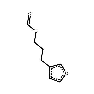 O=[C]OCCCc1ccoc1